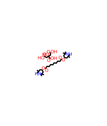 CC1(C)CC(OC(=O)CCCCCCCCC(=O)OC2CC(C)(C)NC(C)(C)C2)CC(C)(C)N1.O=C(O)CC(O)(CC(=O)O)C(=O)O